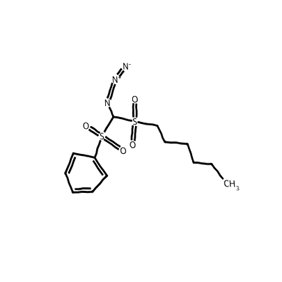 CCCCCCS(=O)(=O)C(N=[N+]=[N-])S(=O)(=O)c1ccccc1